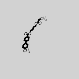 C=CC(=O)OCCCCOC(=O)C1CCC(C2CCC(C)CC2)CC1